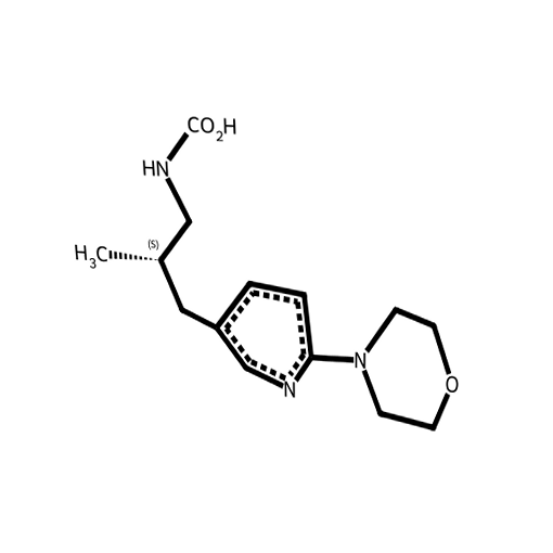 C[C@H](CNC(=O)O)Cc1ccc(N2CCOCC2)nc1